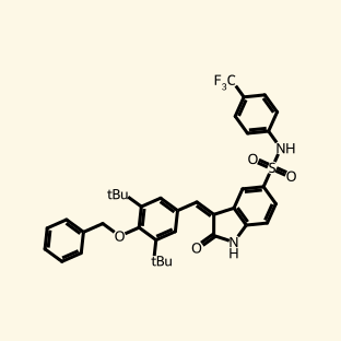 CC(C)(C)c1cc(C=C2C(=O)Nc3ccc(S(=O)(=O)Nc4ccc(C(F)(F)F)cc4)cc32)cc(C(C)(C)C)c1OCc1ccccc1